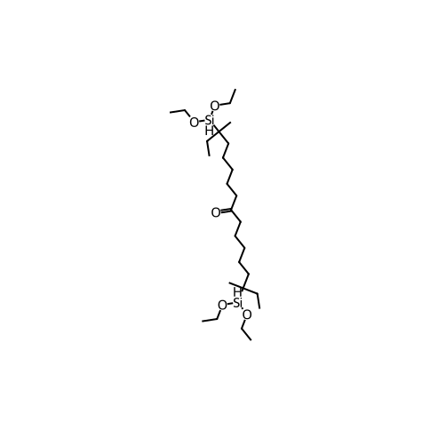 CCO[SiH](OCC)C(C)(CC)CCCCCC(=O)CCCCCC(C)(CC)[SiH](OCC)OCC